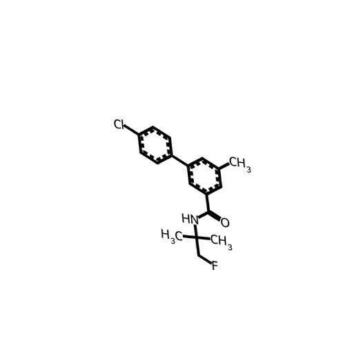 Cc1cc(C(=O)NC(C)(C)CF)cc(-c2ccc(Cl)cc2)c1